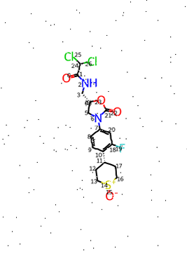 O=C(NC[C@H]1CN(c2ccc([C@H]3CC[S@@+]([O-])CC3)c(F)c2)C(=O)O1)C(Cl)Cl